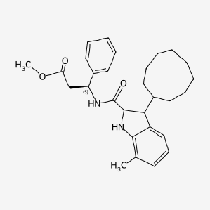 COC(=O)C[C@H](NC(=O)C1Nc2c(C)cccc2C1C1CCCCCCCC1)c1ccccc1